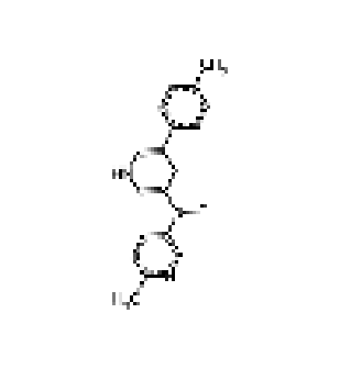 Cc1ccc(C2=CNC=C(N(F)c3ccc(C)nc3)C2)cc1